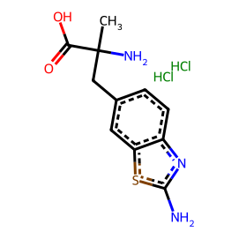 CC(N)(Cc1ccc2nc(N)sc2c1)C(=O)O.Cl.Cl